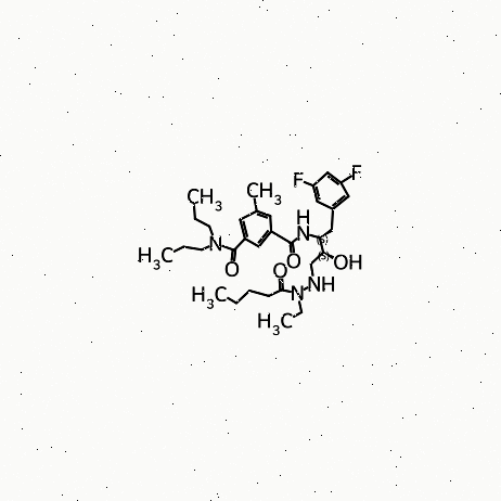 CCCCC(=O)N(CC)NC[C@H](O)[C@H](Cc1cc(F)cc(F)c1)NC(=O)c1cc(C)cc(C(=O)N(CCC)CCC)c1